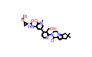 CCOC1C[C@H]1C(=O)Nc1cc(-c2ccnc(N3CCn4c(cc5c4CC(C)(C)C5)C3=O)c2CO)cn(C)c1=O